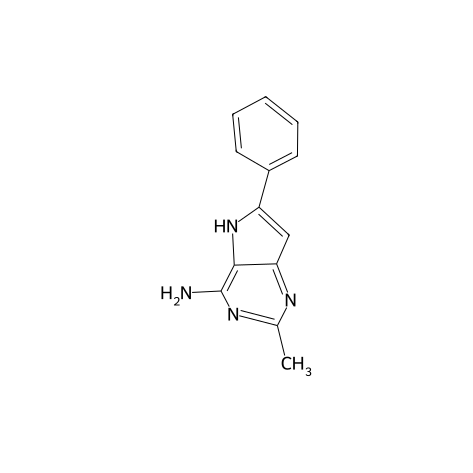 Cc1nc(N)c2[nH]c(-c3ccccc3)cc2n1